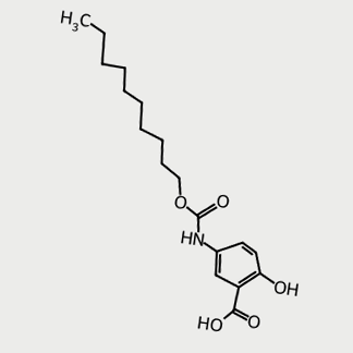 CCCCCCCCCCOC(=O)Nc1ccc(O)c(C(=O)O)c1